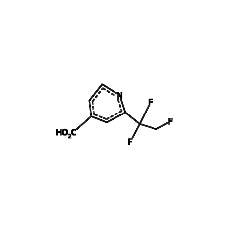 O=C(O)c1ccnc(C(F)(F)CF)c1